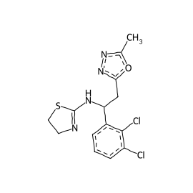 Cc1nnc(CC(NC2=NCCS2)c2cccc(Cl)c2Cl)o1